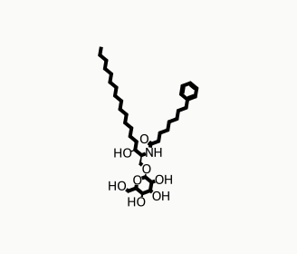 CCCCCCCCCCCCCCC[C@@H](O)[C@H](CO[C@H]1OC(CO)[C@H](O)C(O)C1O)NC(=O)CCCCCCCc1ccccc1